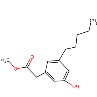 CCCCCc1cc(O)cc(CC(=O)OC)c1